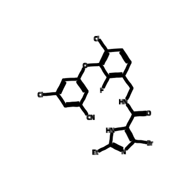 CCc1nc(Br)c(C(=O)NCc2ccc(Cl)c(Oc3cc(Cl)cc(C#N)c3)c2F)[nH]1